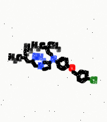 CC(C)=CCN(c1ccc(OCc2ccc(Cl)cc2)cc1)C1CCN(CC(N)CC(C)C)C1